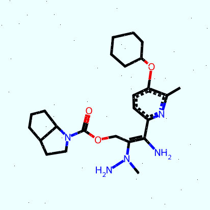 Cc1nc(/C(N)=C(\COC(=O)N2CCC3CCCC32)N(C)N)ccc1OC1CCCCC1